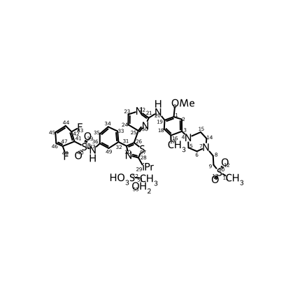 COc1cc(N2CCN(CCS(C)(=O)=O)CC2)c(C)cc1Nc1nccc(-c2sc(C(C)C)nc2-c2cccc(NS(=O)(=O)c3c(F)cccc3F)c2)n1.CS(=O)(=O)O.O